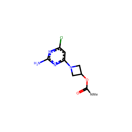 CNC(=O)OC1CN(c2cc(Cl)nc(N)n2)C1